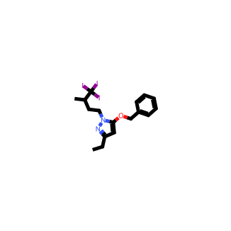 CCc1cc(OCc2ccccc2)n(CCC(C)C(I)(I)I)n1